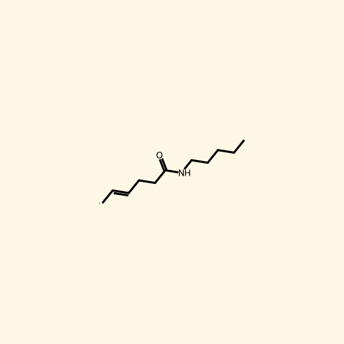 [CH2]C=CCCC(=O)NCCCCC